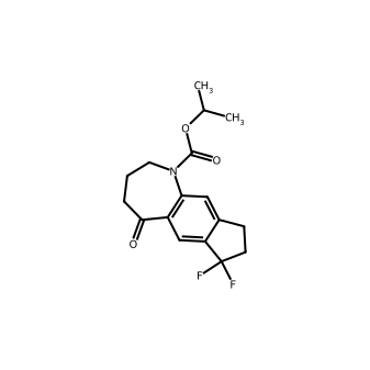 CC(C)OC(=O)N1CCCC(=O)c2cc3c(cc21)CCC3(F)F